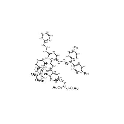 CC(=O)OCC(COC(C)=O)OC(C)=O.CC[C@]12CCCN3CCc4c(n(c5ccccc45)[C@@](O)(C(=O)OC)C1)[C@@H]32.Fc1ccc(C(OCCN2CCN(CCCc3ccccc3)CC2)c2ccc(F)cc2)cc1